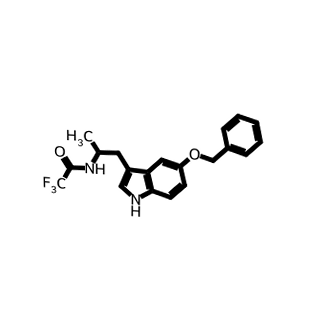 CC(Cc1c[nH]c2ccc(OCc3ccccc3)cc12)NC(=O)C(F)(F)F